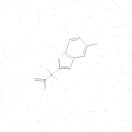 NC(=O)C(F)(F)c1cc2cc(Cl)ccc2o1